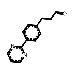 O=CCCc1ccc(-c2ncccn2)cc1